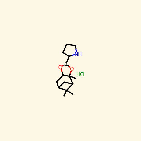 CC1(C)C2CC3OB(C4CCCN4)OC3(C)C1C2.Cl